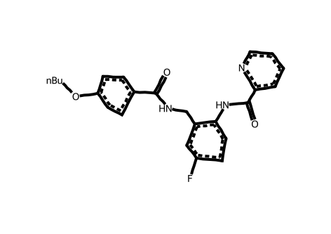 CCCCOc1ccc(C(=O)NCc2cc(F)ccc2NC(=O)c2ccccn2)cc1